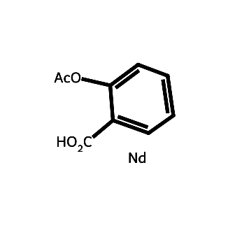 CC(=O)Oc1ccccc1C(=O)O.[Nd]